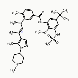 COc1c(NC(=O)c2ccc(C)c(N(N)/C=C(\N)c3cnn(C4CCN(C)CC4)c3C)c2)cc(C(C)(C)C)cc1NS(C)(=O)=O